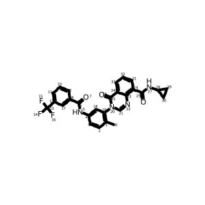 Cc1ccc(NC(=O)c2cccc(C(F)(F)F)c2)cc1-n1cnc2c(C(=O)NC3CC3)cccc2c1=O